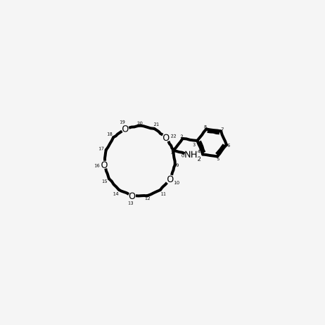 NC1(Cc2ccccc2)COCCOCCOCCOCCO1